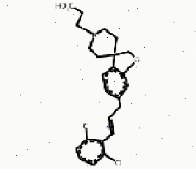 O=C(O)CCN1CCC2(CC1)COc1cc(C/C=C/c3c(Cl)cccc3Cl)ccc12